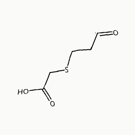 O=[C]CCSCC(=O)O